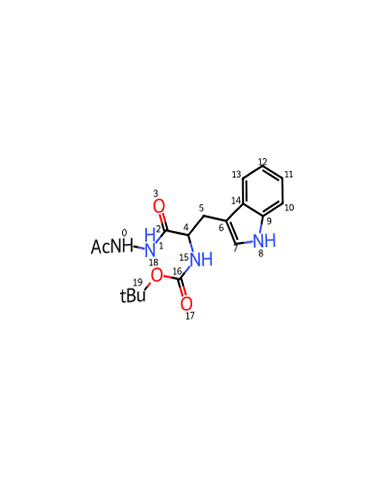 CC(=O)NNC(=O)C(Cc1c[nH]c2ccccc12)NC(=O)OC(C)(C)C